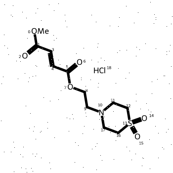 COC(=O)/C=C/C(=O)OCCN1CCS(=O)(=O)CC1.Cl